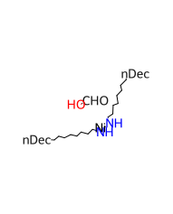 CCCCCCCCCCCCCCCCCC[NH][Ni][NH]CCCCCCCCCCCCCCCCCC.O=CO